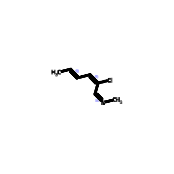 C/C=C/C=C(Cl)\C=N/C